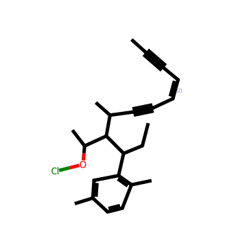 CC#C/C=C\C#CC(C)C(C(C)OCl)C(CC)c1cc(C)ccc1C